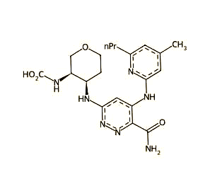 CCCc1cc(C)cc(Nc2cc(N[C@@H]3CCOC[C@@H]3NC(=O)O)nnc2C(N)=O)n1